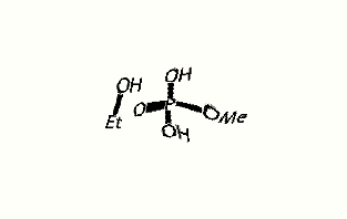 CCO.COP(=O)(O)O